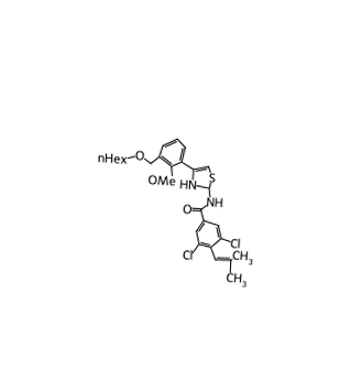 CCCCCCOCc1cccc(C2=CSC(NC(=O)c3cc(Cl)c(C=C(C)C)c(Cl)c3)N2)c1OC